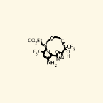 CCOC(=O)CN1CCCCCC[C@](O)(C(F)(F)F)c2nnc(o2)-c2nc1c(C(F)(F)F)cc2N